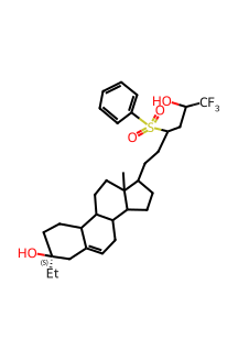 CC[C@]1(O)CCC2C(=CCC3C2CCC2(C)C(CCC(CC(O)C(F)(F)F)S(=O)(=O)c4ccccc4)CCC32)C1